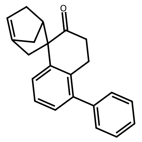 O=C1CCc2c(-c3ccccc3)cccc2C12CC1=CCC2C1